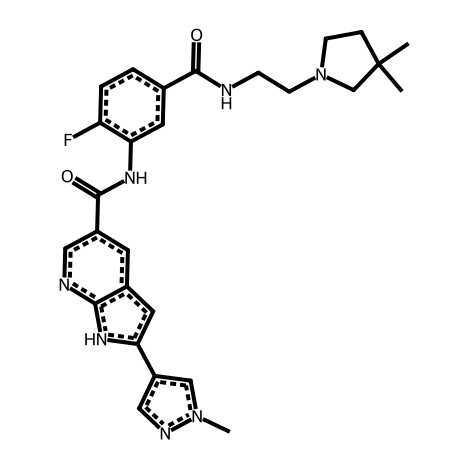 Cn1cc(-c2cc3cc(C(=O)Nc4cc(C(=O)NCCN5CCC(C)(C)C5)ccc4F)cnc3[nH]2)cn1